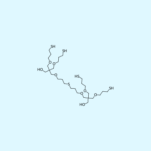 OCC(COCCCS)(COCCCS)COCCCSCCCOCC(CO)(COCCCS)COCCCS